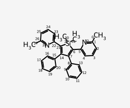 Cc1cccc(C2=C(c3ccccc3)C(c3ccccc3)=C(c3cccc(C)n3)[Si]2(C)C)n1